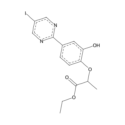 CCOC(=O)C(C)Oc1ccc(-c2ncc(I)cn2)cc1O